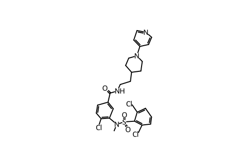 CN(c1cc(C(=O)NCCC2CCN(c3ccncc3)CC2)ccc1Cl)S(=O)(=O)c1c(Cl)cccc1Cl